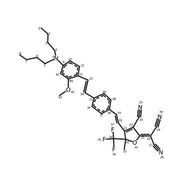 CCCCN(CCCC)c1ccc(C=Cc2ccc(C=CC3=C(C#N)C(=C(C#N)C#N)OC3(C)C(F)(F)F)cc2)c(OC)c1